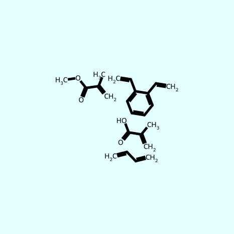 C=C(C)C(=O)O.C=C(C)C(=O)OC.C=CC=C.C=Cc1ccccc1C=C